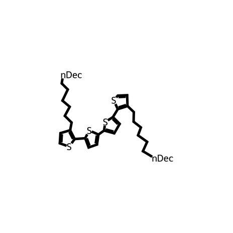 CCCCCCCCCCCCCCCCc1ccsc1-c1ccc(-c2ccc(-c3sccc3CCCCCCCCCCCCCCCC)s2)s1